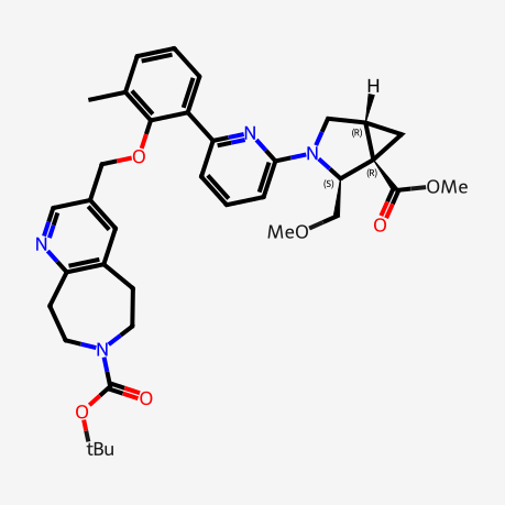 COC[C@H]1N(c2cccc(-c3cccc(C)c3OCc3cnc4c(c3)CCN(C(=O)OC(C)(C)C)CC4)n2)C[C@@H]2C[C@@]21C(=O)OC